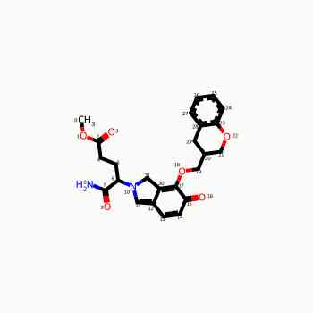 COC(=O)CCC(C(N)=O)N1C=C2C=CC(=O)C(OCC3COc4ccccc4C3)=C2C1